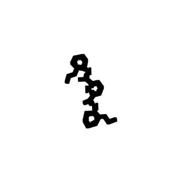 CCCc1ccccc1/N=C(\C)c1cccc(/C(C)=N/c2ccccc2CCC)n1